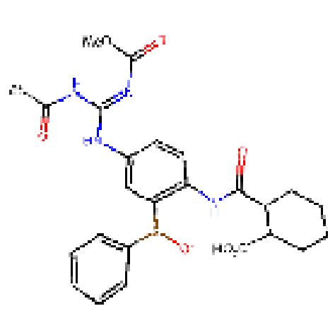 CCC(=O)NC(=NC(=O)OC)Nc1ccc(NC(=O)C2CCCCC2C(=O)O)c([S+]([O-])c2ccccc2)c1